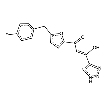 O=C(C=C(O)c1nn[nH]n1)c1ccc(Cc2ccc(F)cc2)o1